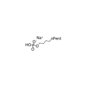 CCCCCCCCCOP(=O)([O-])O.[Na+]